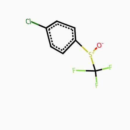 [O-][S+](c1ccc(Cl)cc1)C(F)(F)F